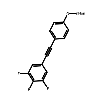 CCCCCCCCCOc1ccc(C#Cc2cc(F)c(F)c(F)c2)cc1